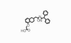 O=C(O)COc1cccc2c1CCC(Cc1nc(C(c3ccccc3)c3ccccc3)no1)C2